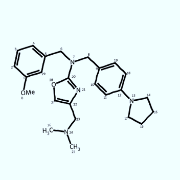 COc1cccc(CN(Cc2ccc(N3CCCC3)cc2)c2nc(CN(C)C)co2)c1